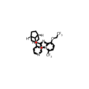 FC(F)(F)COc1ccc(C(F)(F)F)n2nc(NC3[C@@H]4CC[C@H]3CN(c3ccncn3)C4)nc12